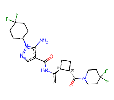 C=C(NC(=O)c1cnn(C2CCC(F)(F)CC2)c1N)[C@H]1CC[C@@H]1C(=O)N1CCC(F)(F)CC1